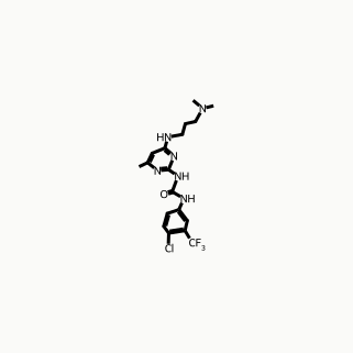 Cc1cc(NCCCN(C)C)nc(NC(=O)Nc2ccc(Cl)c(C(F)(F)F)c2)n1